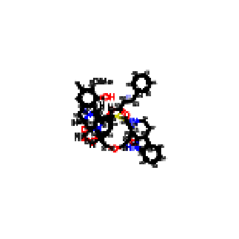 COc1c(C)cc2c(c1O)[C@@H]1C3[C@@H]4SC[C@]5(NCCc6c5[nH]c5ccccc65)C(=O)COC[C@@H](c5c6c(c(C)c(OC(=O)/C=C/c7ccccc7)c54)OCO6)N3[C@@H](C#N)[C@H](C2)N1C